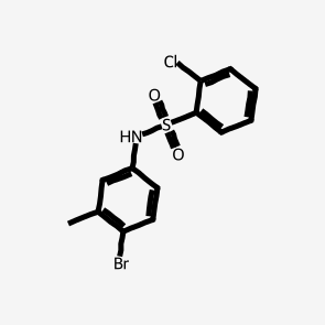 Cc1cc(NS(=O)(=O)c2ccccc2Cl)ccc1Br